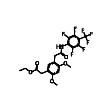 CCOC(=O)Cc1cc(CC(=O)Nc2c(F)c(F)c(C(F)(F)F)c(F)c2F)c(OC)cc1OC